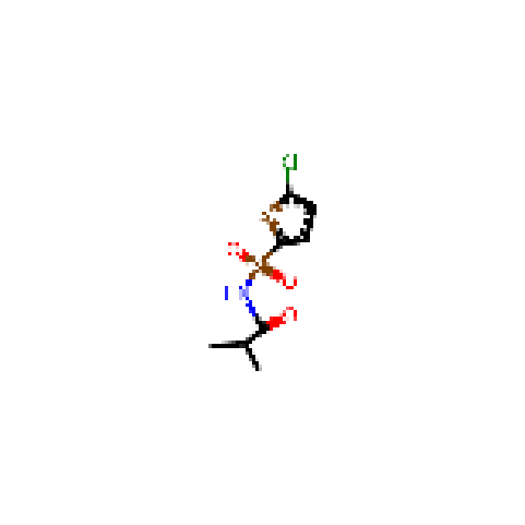 CC(C)C(=O)NS(=O)(=O)c1ccc(Cl)s1